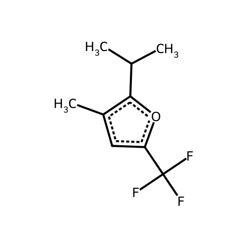 Cc1cc(C(F)(F)F)oc1C(C)C